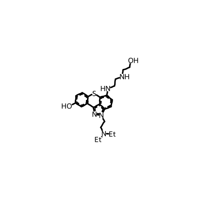 CCN(CC)CCn1nc2c3c(c(NCCNCCO)ccc31)Sc1ccc(O)cc1-2